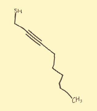 CCCCCC#CCS